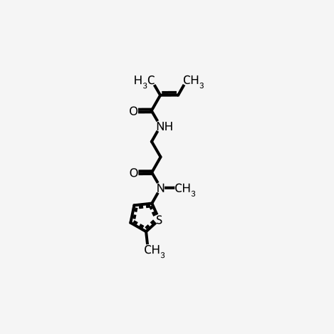 CC=C(C)C(=O)NCCC(=O)N(C)c1ccc(C)s1